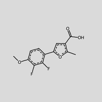 COc1ccc(-c2cc(C(=O)O)c(C)o2)c(F)c1F